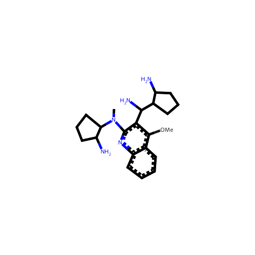 COc1c(C(N)C2CCCC2N)c(N(C)C2CCCC2N)nc2ccccc12